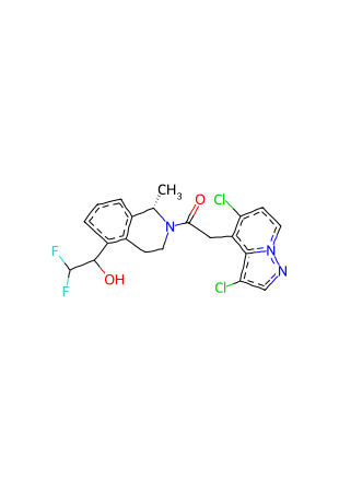 C[C@H]1c2cccc(C(O)C(F)F)c2CCN1C(=O)Cc1c(Cl)ccn2ncc(Cl)c12